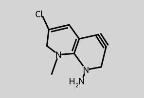 CN1CC(Cl)=CC2=C1N(N)CC#C2